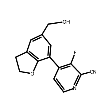 N#Cc1nccc(-c2cc(CO)cc3c2OCC3)c1F